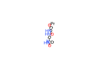 CC(C)Oc1ccc2cc(C(=O)Nc3ccc(-c4n[nH]c(=O)c5ccccc45)cc3)[nH]c2c1